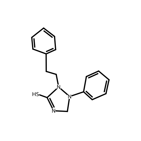 SC1=NCN(c2ccccc2)N1CCc1ccccc1